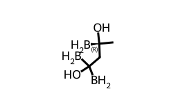 BC(B)(O)C[C@@](B)(C)O